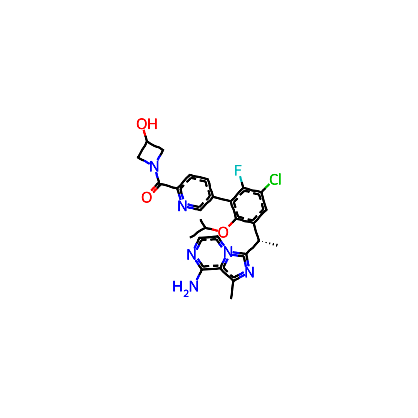 Cc1nc([C@@H](C)c2cc(Cl)c(F)c(-c3ccc(C(=O)N4CC(O)C4)nc3)c2OC(C)C)n2ccnc(N)c12